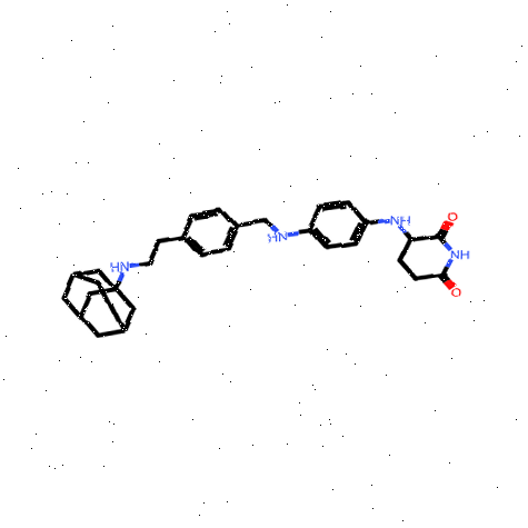 O=C1CCC(Nc2ccc(NCc3ccc(CCNC45CC6CC(CC(C6)C4)C5)cc3)cc2)C(=O)N1